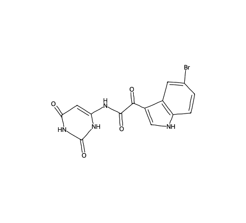 O=C(Nc1cc(=O)[nH]c(=O)[nH]1)C(=O)c1c[nH]c2ccc(Br)cc12